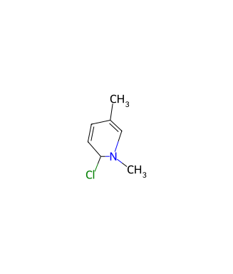 CC1=CN(C)C(Cl)C=C1